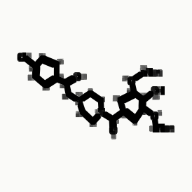 CCCCCCCCCOc1cc(C(=O)N2CCN(CC(=O)c3ccc(Cl)cc3)CC2)cc(OCCCCCCCCC)c1O